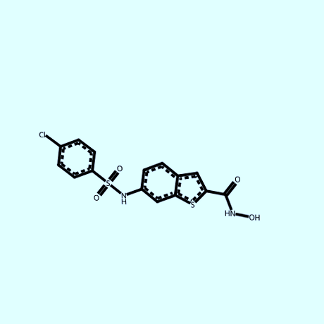 O=C(NO)c1cc2ccc(NS(=O)(=O)c3ccc(Cl)cc3)cc2s1